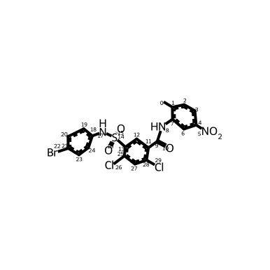 Cc1ccc([N+](=O)[O-])cc1NC(=O)c1cc(S(=O)(=O)Nc2ccc(Br)cc2)c(Cl)cc1Cl